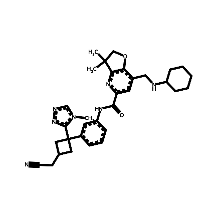 Cn1cnnc1C1(c2cccc(NC(=O)c3cc(CNC4CCCCC4)c4c(n3)C(C)(C)CO4)c2)CC(CC#N)C1